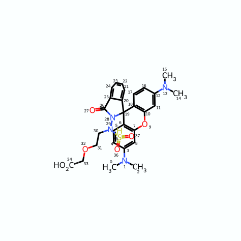 CN(C)c1ccc2c(c1)Oc1cc(N(C)C)ccc1C21c2ccccc2C(=O)N1N(CCOCC(=O)O)[SH](=O)=O